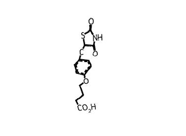 O=C(O)CCCOc1ccc(CC2SC(=O)NC2=O)cc1